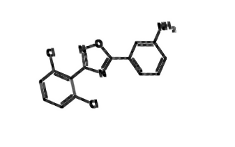 Nc1cccc(-c2nc(-c3c(Cl)cccc3Cl)no2)c1